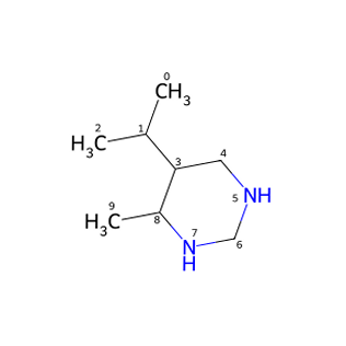 CC(C)C1CNCNC1C